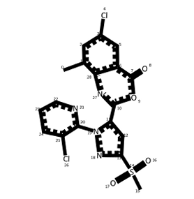 Cc1cc(Cl)cc2c(=O)oc(-c3cc(S(C)(=O)=O)nn3-c3ncccc3Cl)nc12